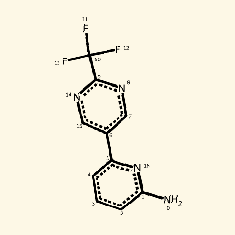 Nc1cccc(-c2cnc(C(F)(F)F)nc2)n1